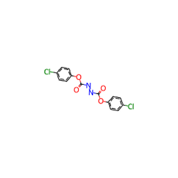 O=C(N=NC(=O)Oc1ccc(Cl)cc1)Oc1ccc(Cl)cc1